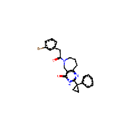 O=C(Cc1cccc(Br)c1)N1CCCc2nc(C3(c4ccccc4)CC3)[nH]c(=O)c2C1